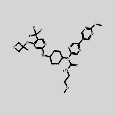 COCCNC(=O)N(c1cnc(-c2cnc(OC)nc2)cn1)C1CCC(Nc2ncc(C(F)(F)F)c(OC3(C)COC3)n2)CC1